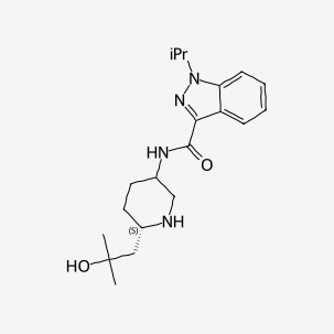 CC(C)n1nc(C(=O)NC2CC[C@@H](CC(C)(C)O)NC2)c2ccccc21